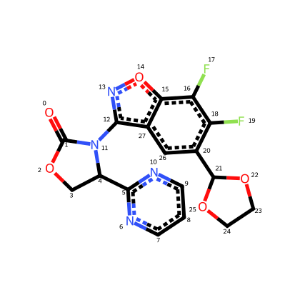 O=C1OCC(c2ncccn2)N1c1noc2c(F)c(F)c(C3OCCO3)cc12